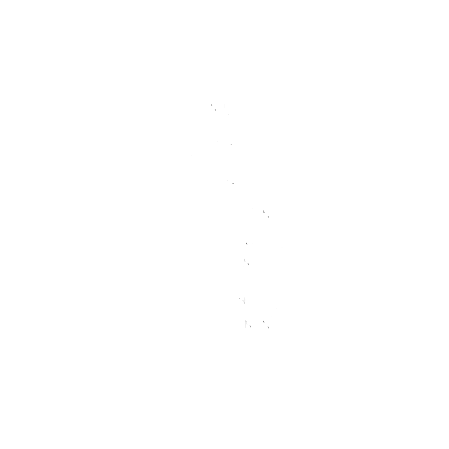 Cn1cc(-c2ccc3nc(-c4ccc5c(c4)OC[C@@H]5N)c(-c4ccccc4)n3n2)nn1